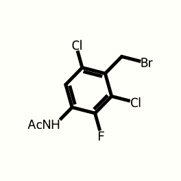 CC(=O)Nc1cc(Cl)c(CBr)c(Cl)c1F